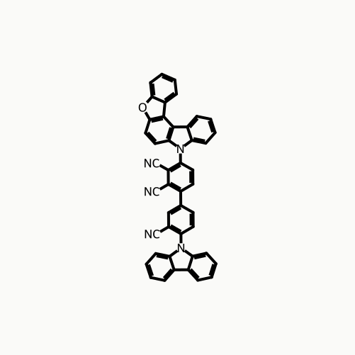 N#Cc1cc(-c2ccc(-n3c4ccccc4c4c5c(ccc43)oc3ccccc35)c(C#N)c2C#N)ccc1-n1c2ccccc2c2ccccc21